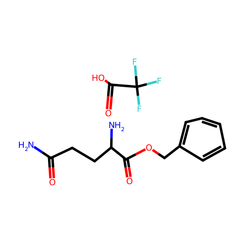 NC(=O)CCC(N)C(=O)OCc1ccccc1.O=C(O)C(F)(F)F